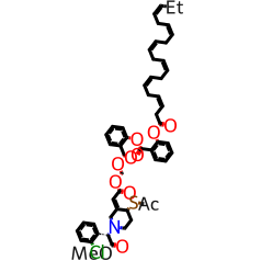 CC/C=C\C/C=C\C/C=C\C/C=C\C/C=C\C/C=C\CC(=O)Oc1ccccc1C(=O)Oc1ccccc1C(=O)OCOC(=O)/C=C1/CN([C@H](C(=O)OC)c2ccccc2Cl)CCC1SC(C)=O